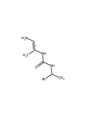 C/C(=C\N)NC(=O)NC(C)Br